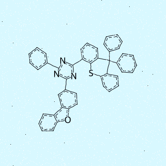 c1ccc(-c2nc(-c3ccc4oc5ccccc5c4c3)nc(-c3cccc4c3Sc3ccccc3C4(c3ccccc3)c3ccccc3)n2)cc1